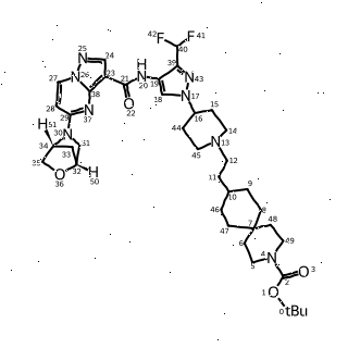 CC(C)(C)OC(=O)N1CCC2(CCC(CCN3CCC(n4cc(NC(=O)c5cnn6ccc(N7C[C@H]8C[C@@H]7CO8)nc56)c(C(F)F)n4)CC3)CC2)CC1